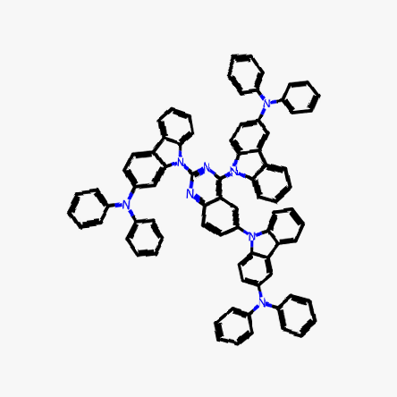 c1ccc(N(c2ccccc2)c2ccc3c(c2)c2ccccc2n3-c2ccc3nc(-n4c5ccccc5c5ccc(N(c6ccccc6)c6ccccc6)cc54)nc(-n4c5ccccc5c5cc(N(c6ccccc6)c6ccccc6)ccc54)c3c2)cc1